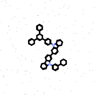 C1=CC(C2=CC(c3ccc(-n4c5c(c6c4CC(C4=CC7C(C=C4)C4=C(C=CCC4)N7c4cccc(C7CCCCC7)c4)C=C6)CCC=C5)cc3)CC(c3ccccc3)C2)CCC1